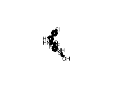 O=C(c1c[nH]c2c1C=C(c1ccc(Cl)cc1)CN2)c1c(F)ccc(NSCCCO)c1F